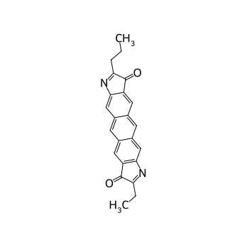 CCCc1nc2cc3cc4cc5c(=O)c(CC)nc5cc4cc3cc2c1=O